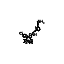 Cc1sc2c(c1C)C(c1ccc(Cl)cc1)=N[C@@H](CC(=O)NCC#Cc1cccc(C#CCN)n1)c1nnc(C)n1-2